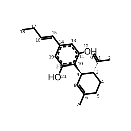 C=C(C)[C@@H]1CCC(C)=C[C@H]1c1c(O)cc(/C=C/CC)cc1O